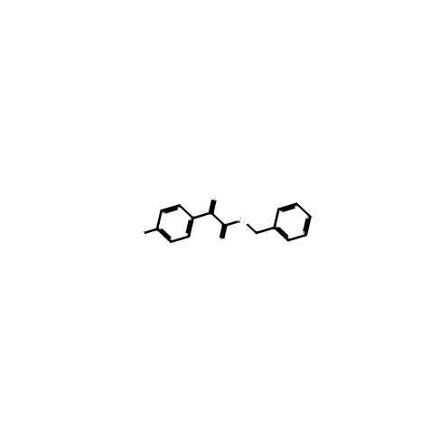 O=C(NCc1ccccc1)C(=O)c1ccc(O)cc1